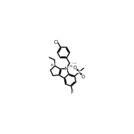 CC[C@@H]1CCc2c1n([C@@H](C)c1ccc(Cl)cc1)c1c(S(C)(=O)=O)cc(F)cc21